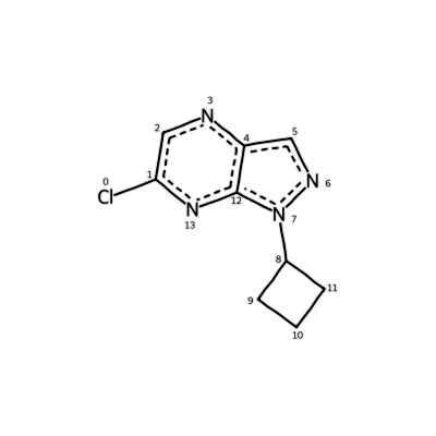 Clc1cnc2cnn(C3CCC3)c2n1